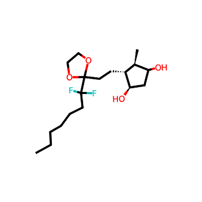 CCCCCCC(F)(F)C1(CC[C@H]2[C@H](O)CC(O)[C@@H]2C)OCCO1